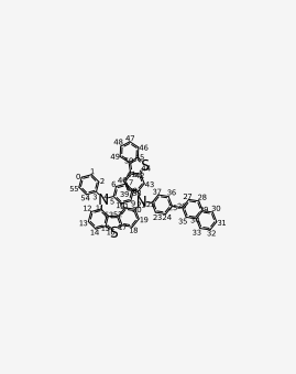 c1ccc(N(c2ccccc2)c2cccc3sc4ccc(N(c5ccc(-c6ccc7ccccc7c6)cc5)c5ccc6c(c5)sc5ccccc56)cc4c23)cc1